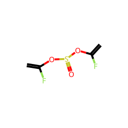 C=C(F)OS(=O)OC(=C)F